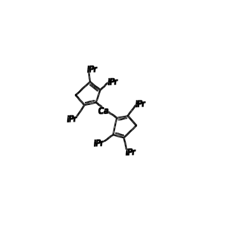 CC(C)C1=[C]([Ca][C]2=C(C(C)C)CC(C(C)C)=C2C(C)C)C(C(C)C)=C(C(C)C)C1